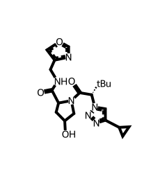 CC(C)(C)[C@@H](C(=O)N1CC(O)CC1C(=O)NCc1cocn1)n1cc(C2CC2)nn1